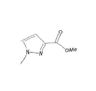 COC(=O)c1c[c]n(C)n1